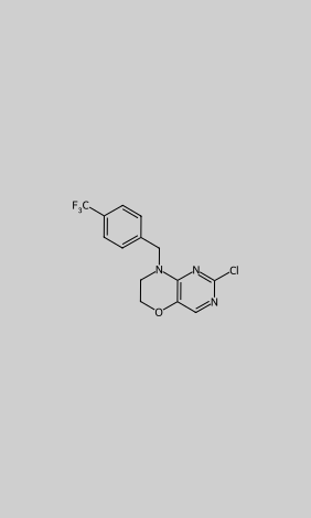 FC(F)(F)c1ccc(CN2CCOc3cnc(Cl)nc32)cc1